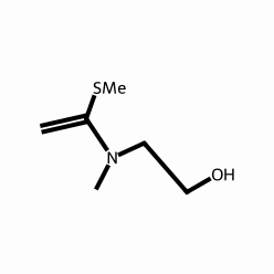 C=C(SC)N(C)CCO